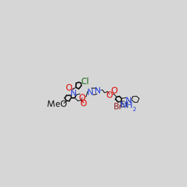 CCN(Cc1cc(C(=O)OCCCN2CCN(CCOC(=O)Cc3c(C)n(C(=O)c4ccc(Cl)cc4)c4ccc(OC)cc34)CC2)cc(Br)c1N)C1CCCCC1